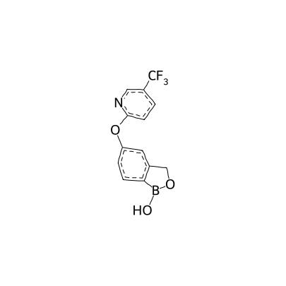 OB1OCc2cc(Oc3ccc(C(F)(F)F)cn3)ccc21